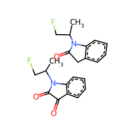 CC(CF)N1C(=O)C(=O)c2ccccc21.CC(CF)N1C(=O)Cc2ccccc21